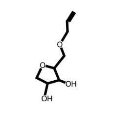 C=CCOCC1OCC(O)C1O